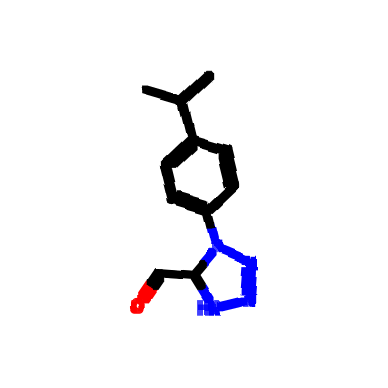 CC(C)c1ccc(N2N=NNC2C=O)cc1